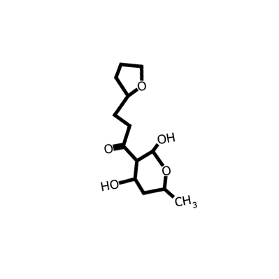 CC1CC(O)C(C(=O)CCC2CCCO2)C(O)O1